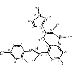 Cc1cc(C(C)Nc2ccc(Cl)nc2C)c2oc(-c3ccn(C)n3)c(C)c(=O)c2c1